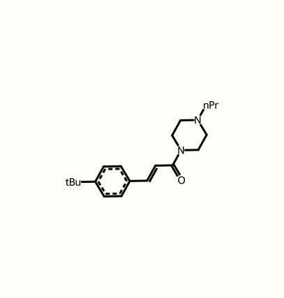 CCCN1CCN(C(=O)C=Cc2ccc(C(C)(C)C)cc2)CC1